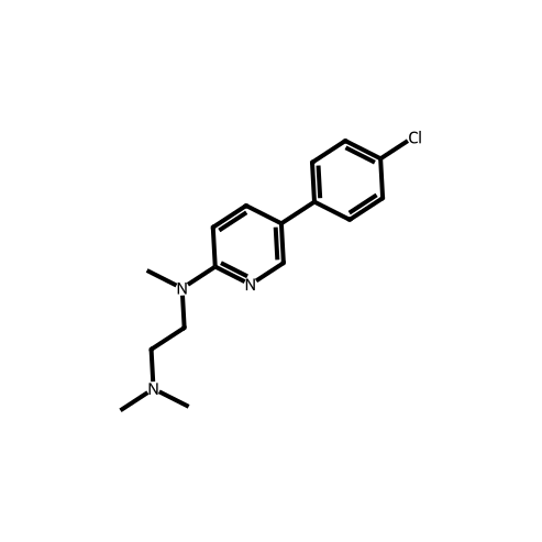 CN(C)CCN(C)c1ccc(-c2ccc(Cl)cc2)cn1